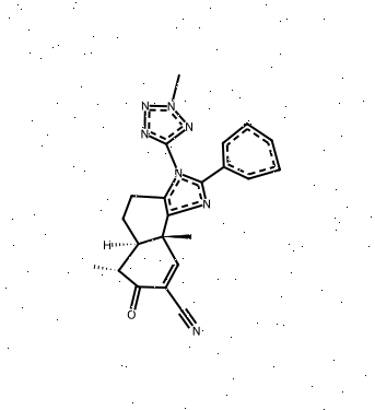 C[C@H]1C(=O)C(C#N)=C[C@@]2(C)c3nc(-c4ccccc4)n(-c4nnn(C)n4)c3CC[C@H]12